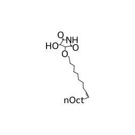 CCCCCCCC/C=C\CCCCCCCCOC1C(=O)NC(=O)C1O